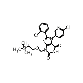 C[Si](C)(C)CCOCn1c(=O)[nH]c(=O)c2c1nc(-c1ccccc1Cl)n2-c1ccc(Cl)nc1